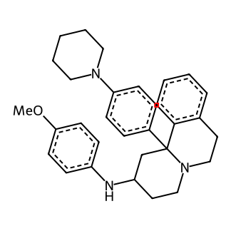 COc1ccc(NC2CCN3CCc4ccccc4C3(c3ccc(N4CCCCC4)cc3)C2)cc1